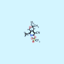 CC1(C)Cc2c(C#N)c(OS(=O)(=O)C(F)(F)F)nc(C3CC3)c2CO1